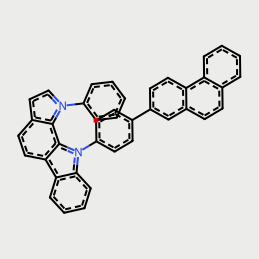 c1ccc(-n2ccc3ccc4c5ccccc5n(-c5ccc(-c6ccc7c(ccc8ccccc87)c6)cc5)c4c32)cc1